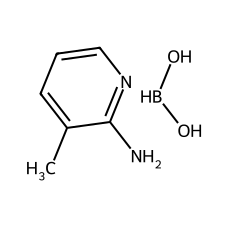 Cc1cccnc1N.OBO